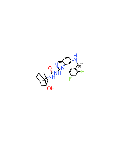 C[C@@H](Nc1ccc2cnc(NC(=O)NC34CC5CC(CC(O)(C5)C3)C4)nc2c1)c1ccc(F)cc1F